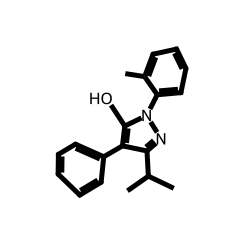 Cc1ccccc1-n1nc(C(C)C)c(-c2ccccc2)c1O